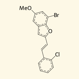 COc1cc(Br)c2oc(C=Cc3ccccc3Cl)cc2c1